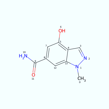 Cn1ncc2c(O)cc(C(N)=O)cc21